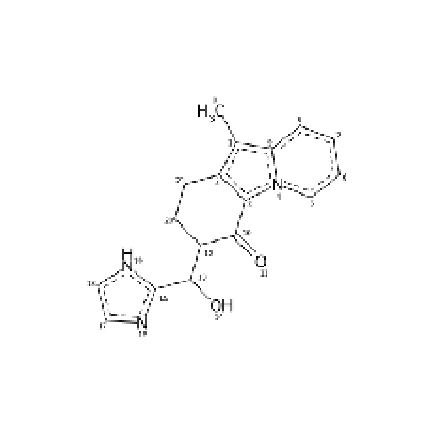 Cc1c2c(n3ccccc13)C(=O)C(C(O)c1ncc[nH]1)CC2